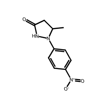 CC1CC(=O)NN1c1ccc([N+](=O)[O-])cc1